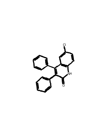 O=c1[nH]c2ccc(Cl)cc2c(-c2ccccc2)c1-c1ccccc1